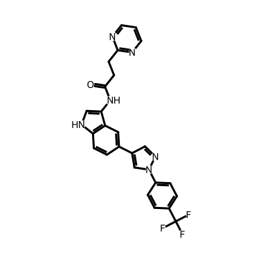 O=C(CCc1ncccn1)Nc1c[nH]c2ccc(-c3cnn(-c4ccc(C(F)(F)F)cc4)c3)cc12